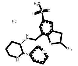 CC1Cc2cc(S(C)(=O)=O)cc(CN[C@H]3CCCN[C@H]3c3ccccc3)c2O1.Cl